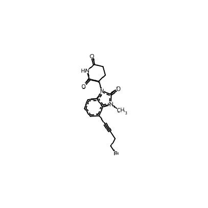 Cn1c(=O)n(C2CCC(=O)NC2=O)c2cccc(C#CCCBr)c21